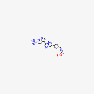 Cc1cnn(-c2ccc3c(-c4cnc5cc(-c6ccc(CN7CC(C)(O)C7)cc6)c(C)nn45)ccnc3n2)n1